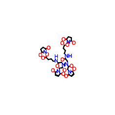 O=C(CN(C(=O)CN1C(=O)C=CC1=O)N(CC(=O)NCCCC(=O)ON1C(=O)CCC1=O)C(=O)CN1C(=O)C=CC1=O)NCCCC(=O)ON1C(=O)CCC1=O